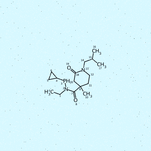 CCN(PC1CC1)C(=O)C1(C)CCN(CC(C)C)C(=O)C1